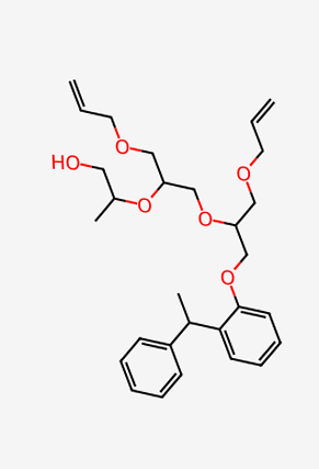 C=CCOCC(COc1ccccc1C(C)c1ccccc1)OCC(COCC=C)OC(C)CO